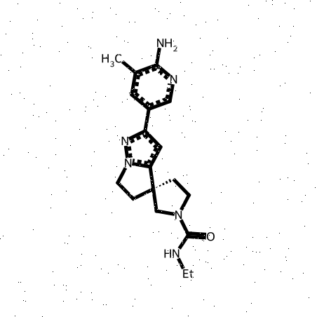 CCNC(=O)N1CC[C@@]2(CCn3nc(-c4cnc(N)c(C)c4)cc32)C1